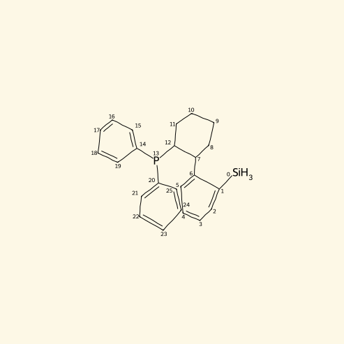 [SiH3]c1ccccc1C1CCCCC1P(c1ccccc1)c1ccccc1